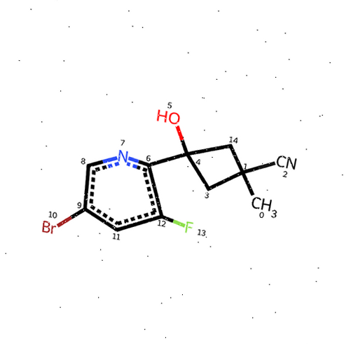 CC1(C#N)CC(O)(c2ncc(Br)cc2F)C1